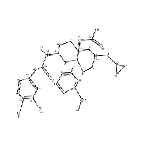 COc1cccc([C@@]23CCN(CC4CC4)C[C@@]2(OC(C)=O)CC[C@H](N(C)C(=O)Cc2ccc(Cl)c(Cl)c2)C3)c1